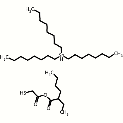 CCCCC(CC)C(=O)OC(=O)CS.CCCCCCC[CH2][SnH]([CH2]CCCCCCC)[CH2]CCCCCCC